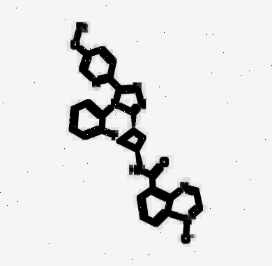 CCOc1ccc(-c2nnc([C@H]3C[C@H](NC(=O)c4cccc5c4ncc[n+]5[O-])C3)n2-c2ccccc2F)nc1